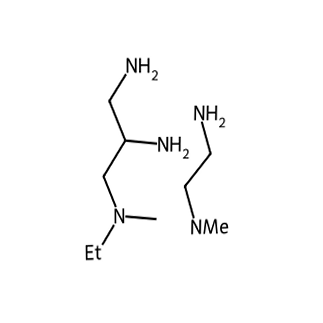 CCN(C)CC(N)CN.CNCCN